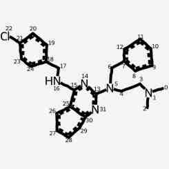 CN(C)CCN(Cc1ccccc1)c1nc(NCc2ccc(Cl)cc2)c2ccccc2n1